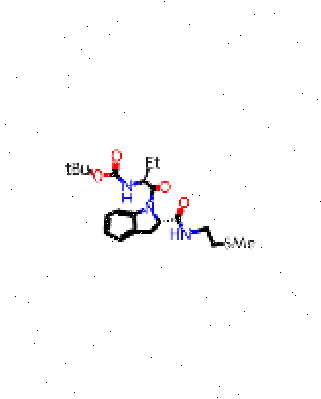 CC[C@H](NC(=O)OC(C)(C)C)C(=O)N1c2ccccc2C[C@H]1C(=O)NCCSC